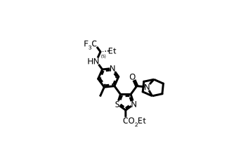 CCOC(=O)c1nc(C(=O)N2C3CCC2CC3)c(-c2cnc(N[C@@H](CC)C(F)(F)F)cc2C)s1